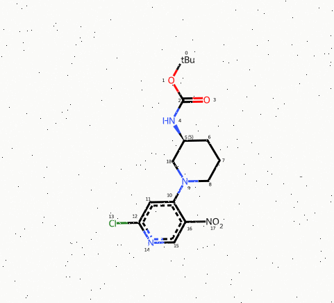 CC(C)(C)OC(=O)N[C@H]1CCCN(c2cc(Cl)ncc2[N+](=O)[O-])C1